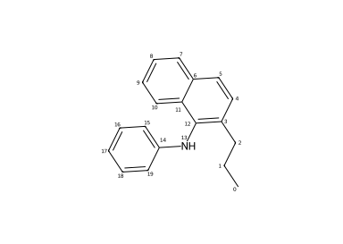 CCCc1ccc2ccccc2c1Nc1ccccc1